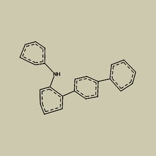 c1ccc(Nc2ccccc2-c2ccc(-c3ccccc3)cc2)cc1